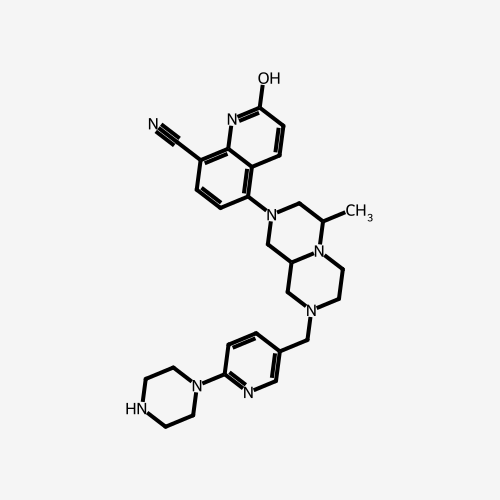 CC1CN(c2ccc(C#N)c3nc(O)ccc23)CC2CN(Cc3ccc(N4CCNCC4)nc3)CCN12